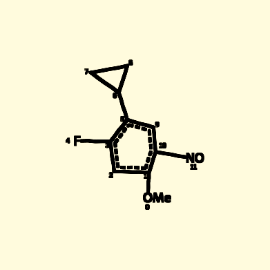 COc1cc(F)c(C2CC2)cc1N=O